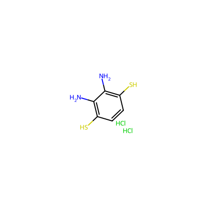 Cl.Cl.Nc1c(S)ccc(S)c1N